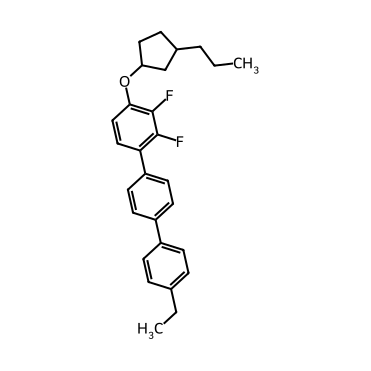 CCCC1CCC(Oc2ccc(-c3ccc(-c4ccc(CC)cc4)cc3)c(F)c2F)C1